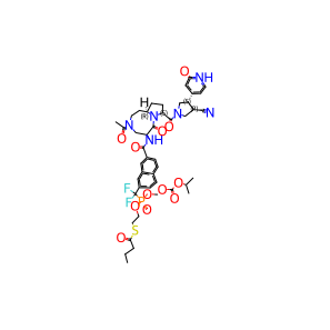 CCCC(=O)SCCOP(=O)(OCOC(=O)OC(C)C)C(F)(F)c1ccc2ccc(C(=O)NC3CN(C(C)=O)CC[C@H]4CC[C@@H](C(=O)N5C[C@H](c6cc[nH]c(=O)c6)[C@@H](C#N)C5)N4C3=O)cc2c1